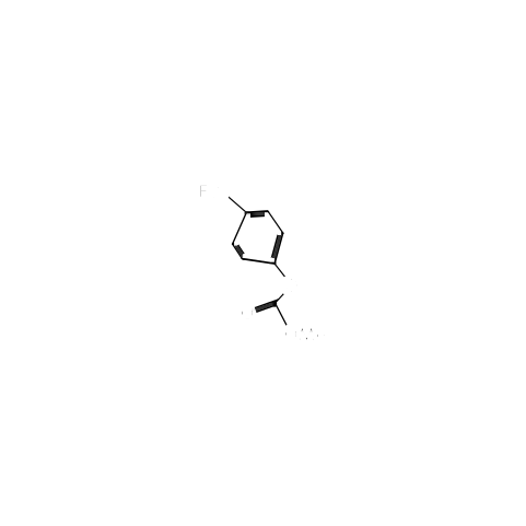 [CH2]OC(=O)Oc1ccc(C(F)(F)F)cc1